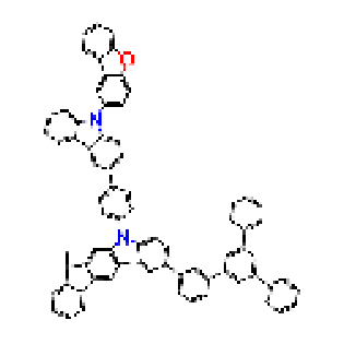 CC1(C)c2ccccc2-c2cc3c4cc(-c5cccc(-c6cc(-c7ccccc7)cc(-c7ccccc7)c6)c5)ccc4n(-c4ccc(-c5ccc6c(c5)c5ccccc5n6-c5ccc6oc7ccccc7c6c5)cc4)c3cc21